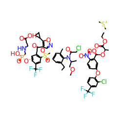 CCOC(=O)C(C)OC(=O)c1cc(Oc2ccc(C(F)(F)F)cc2Cl)ccc1[N+](=O)[O-].CCc1cccc(C)c1N(C(=O)CCl)C(C)COC.CS(=O)(=O)c1cc(C(F)(F)F)ccc1C(=O)c1cnoc1C1CC1.C[S+](C)C.O=C(O)CNCP(=O)([O-])O